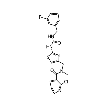 CN(Cc1csc(NC(=O)NCc2cccc(F)c2)n1)C(=O)c1cccnc1Cl